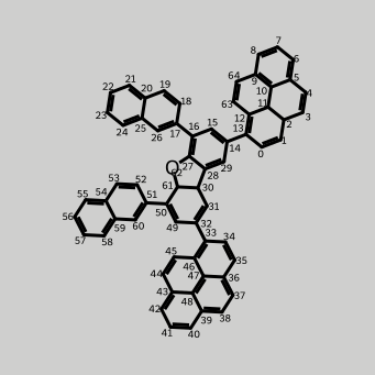 C1=CC2C=Cc3cccc4c3C2C(=C1c1cc(-c2ccc3ccccc3c2)c2c(c1)C1C=C(c3ccc5ccc6cccc7ccc3c5c67)C=C(c3ccc5ccccc5c3)C1O2)C=C4